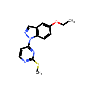 CCOc1ccc2c(cnn2-c2ccnc(SC)n2)c1